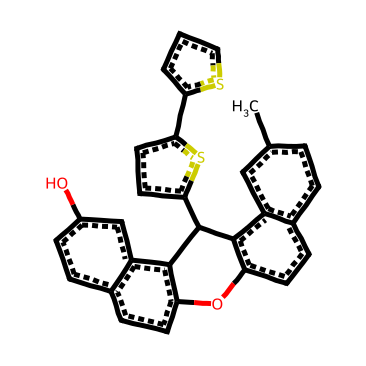 Cc1ccc2ccc3c(c2c1)C(c1ccc(-c2cccs2)s1)c1c(ccc2ccc(O)cc12)O3